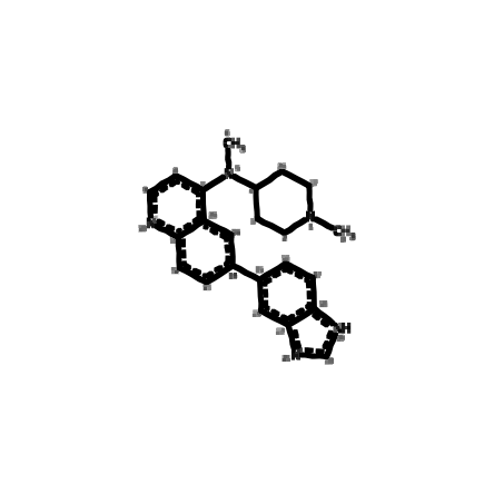 CN1CCC(N(C)c2[c]cnc3ccc(-c4ccc5[nH]cnc5c4)cc23)CC1